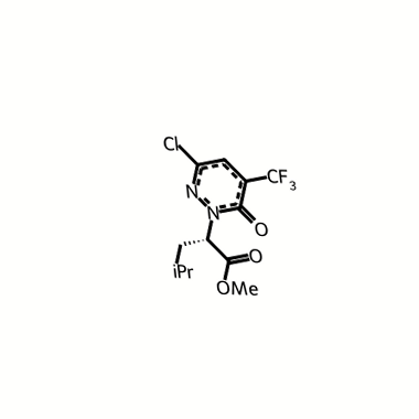 COC(=O)[C@H](CC(C)C)n1nc(Cl)cc(C(F)(F)F)c1=O